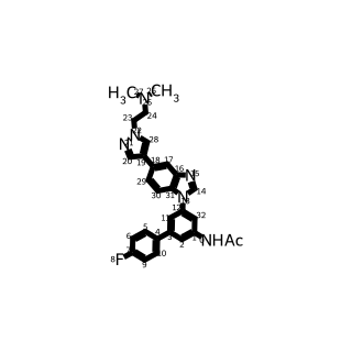 CC(=O)Nc1cc(-c2ccc(F)cc2)cc(-n2cnc3cc(-c4cnn(CCN(C)C)c4)ccc32)c1